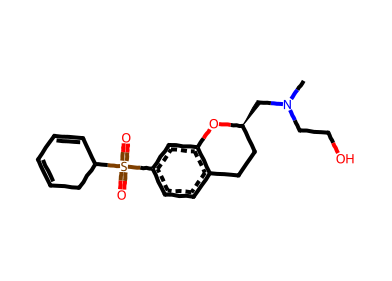 CN(CCO)C[C@H]1CCc2ccc(S(=O)(=O)C3C=CC=CC3)cc2O1